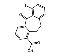 O=C(O)c1cccc2c1CCc1cccc(I)c1C2=O